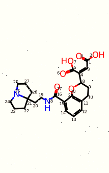 O=C(O)/C=C(\C(=O)O)C1CCc2cccc(C(=O)NCCC34CCCN3CCC4)c2O1